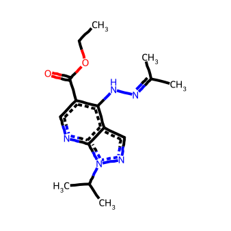 CCOC(=O)c1cnc2c(cnn2C(C)C)c1NN=C(C)C